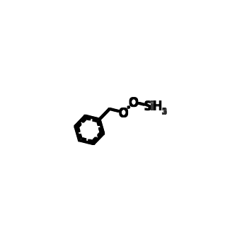 [SiH3]OOCc1ccccc1